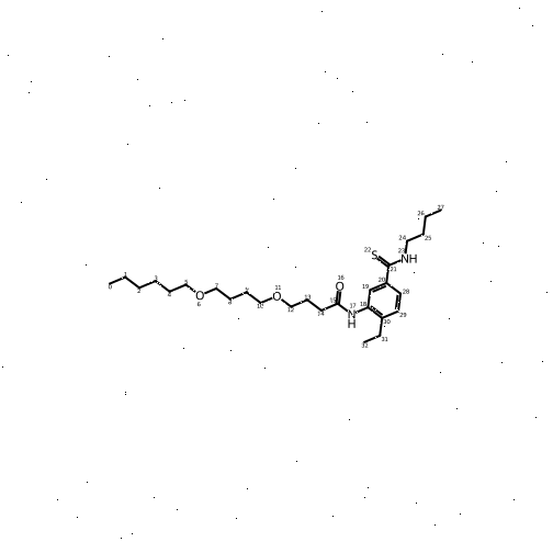 CCCCCCOCCCCOCCCC(=O)Nc1cc(C(=S)NCCCC)ccc1CC